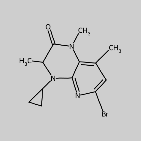 Cc1cc(Br)nc2c1N(C)C(=O)C(C)N2C1CC1